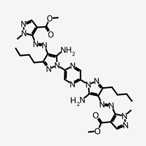 CCCCc1nn(-c2cnc(-n3nc(CCCC)c(/N=N/c4c(C(=O)OC)cnn4C)c3N)cn2)c(N)c1/N=N/c1c(C(=O)OC)cnn1C